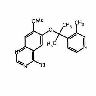 COc1cc2ncnc(Cl)c2cc1OC(C)(C)c1ccncc1C